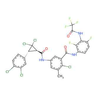 Cc1cc(NC(=O)[C@H]2[C@H](c3ccc(Cl)c(Cl)c3)C2(Cl)Cl)cc(C(=O)Nc2ccc(F)c(NC(=O)C(F)(F)F)c2F)c1Cl